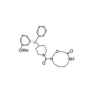 COc1cccc([C@H](c2ccccc2)C2CCN(C(=O)N3CCCCNC(=O)COC3)CC2)c1